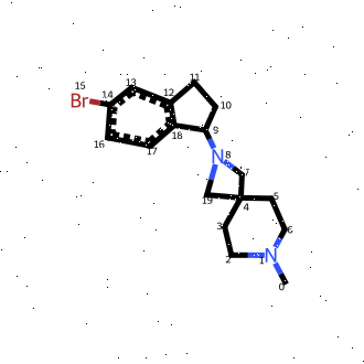 CN1CCC2(CC1)CN(C1CCc3cc(Br)ccc31)C2